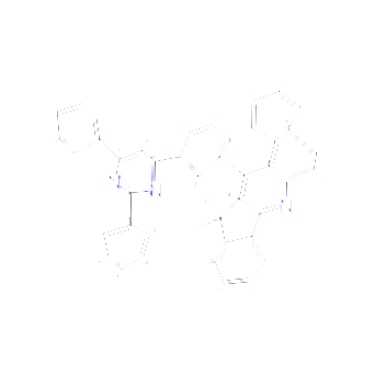 CC1(C)c2ccccc2-c2nc3ccc4ccccc4c3c(-c3cccc(-c4cc(-c5ccccc5)nc(-c5ccccc5)n4)c3)c21